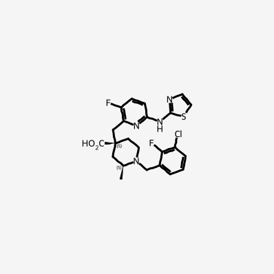 C[C@H]1C[C@@](Cc2nc(Nc3nccs3)ccc2F)(C(=O)O)CCN1Cc1cccc(Cl)c1F